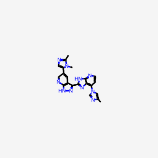 Cc1cn(-c2ccnc3[nH]c(-c4n[nH]c5ncc(-c6cnc(C)n6C)cc45)nc23)cn1